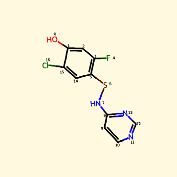 Oc1cc(F)c(SNc2ccncn2)cc1Cl